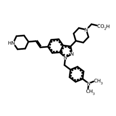 CN(C)c1ccc(Cn2nc(C3CCN(CC(=O)O)CC3)c3ccc(C=CC4CCNCC4)cc32)cc1